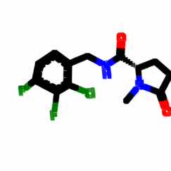 CN1C(=O)CC[C@H]1C(=O)NCc1ccc(F)c(F)c1Cl